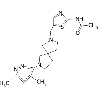 CC(=O)Nc1ncc(CN2CCC3(CCN(c4nnc(C)cc4C)C3)C2)s1